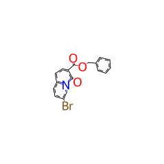 O=C(OCc1ccccc1)c1ccc2ccc(Br)cn2c1=O